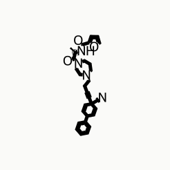 C[C@@H](NC(=O)c1ccco1)C(=O)N1CCCN(CCC#CC2(C#N)C=CC(c3ccccc3)C=C2)CC1